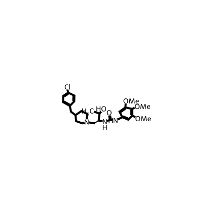 COc1cc(NC(=O)N[C@@H](CN2CCC(Cc3ccc(Cl)cc3)CC2)C(C)O)cc(OC)c1OC